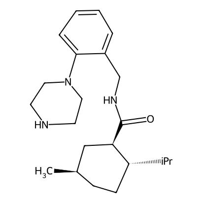 CC(C)[C@@H]1CC[C@@H](C)C[C@H]1C(=O)NCc1ccccc1N1CCNCC1